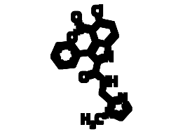 Cn1ccnc1CNC(=O)C1=NC2=CC=C(Cl)C(=S(=O)=O)C2=C1c1ccccc1